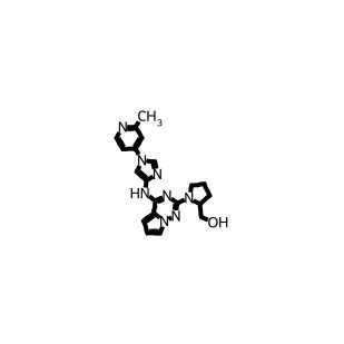 Cc1cc(-n2cnc(Nc3nc(N4CCCC4CO)nn4cccc34)c2)ccn1